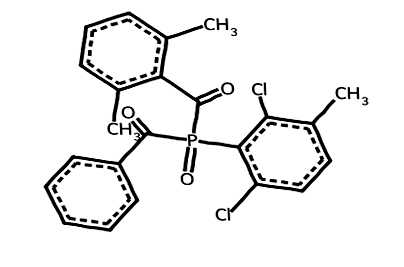 Cc1ccc(Cl)c(P(=O)(C(=O)c2ccccc2)C(=O)c2c(C)cccc2C)c1Cl